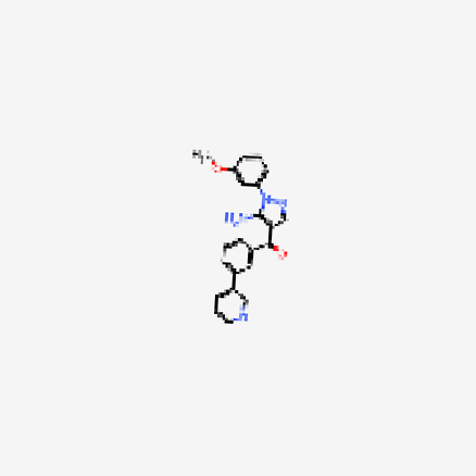 COc1cccc(-n2ncc(C(=O)c3cccc(-c4cccnc4)c3)c2N)c1